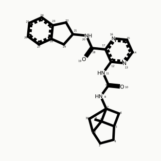 CC12C3CCC1CC2(NC(=O)Nc1nccnc1C(=O)NC1Cc2ccccc2C1)C3